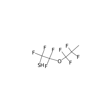 CC(F)(F)C(F)(F)OC(F)(F)C(F)(F)S